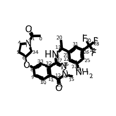 CC(=O)N1CC[C@H](Oc2ccc3c(=O)n(C)nc(NC(C)c4cc(N)cc(C(F)(F)F)c4)c3c2)C1